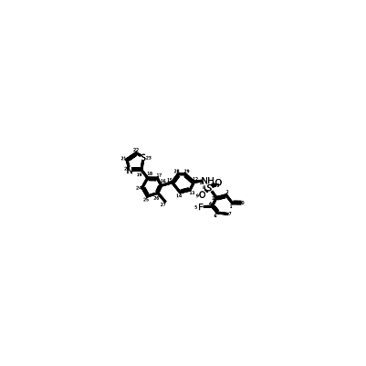 C=C/C=C(\C(F)=C/C)S(=O)(=O)Nc1ccc(-c2cc(-c3nccs3)ccc2C)cc1